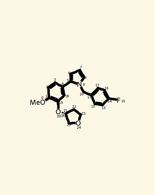 COc1ccc(-c2cccn2Cc2ccc(F)cc2)cc1O[C@@H]1CCOC1